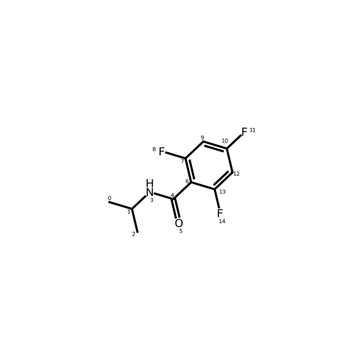 CC(C)NC(=O)c1c(F)cc(F)cc1F